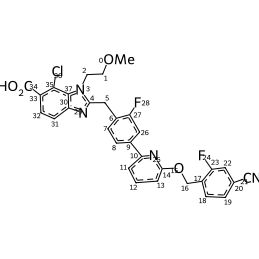 COCCn1c(Cc2ccc(-c3cccc(OCc4ccc(C#N)cc4F)n3)cc2F)nc2ccc(C(=O)O)c(Cl)c21